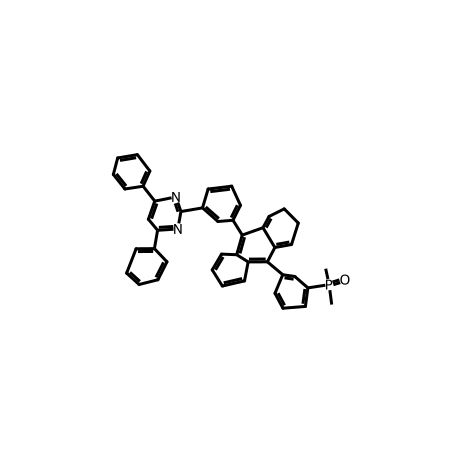 CP(C)(=O)c1cccc(-c2c3c(c(-c4cccc(-c5nc(-c6ccccc6)cc(-c6ccccc6)n5)c4)c4ccccc24)=CCCC=3)c1